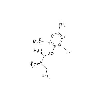 Bc1cc(F)c(O[C@H](C)[C@H](C)CC(F)(F)F)c(OC)c1